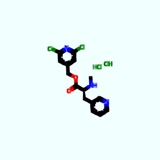 CN[C@@H](Cc1cccnc1)C(=O)OCc1cc(Cl)nc(Cl)c1.Cl.Cl